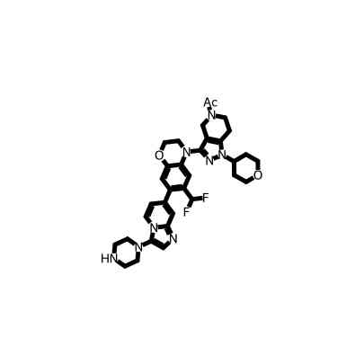 CC(=O)N1CCc2c(c(N3CCOc4cc(-c5ccn6c(N7CCNCC7)cnc6c5)c(C(F)F)cc43)nn2C2CCOCC2)C1